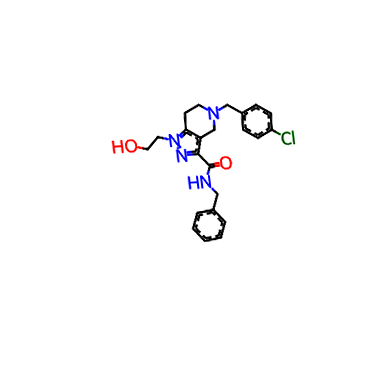 O=C(NCc1ccccc1)c1nn(CCO)c2c1CN(Cc1ccc(Cl)cc1)CC2